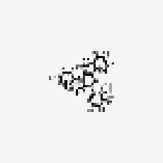 Cc1ccc(-n2c3c(cc(-c4cccc(F)c4Cl)c2=O)-c2ncccc2OC3)cn1